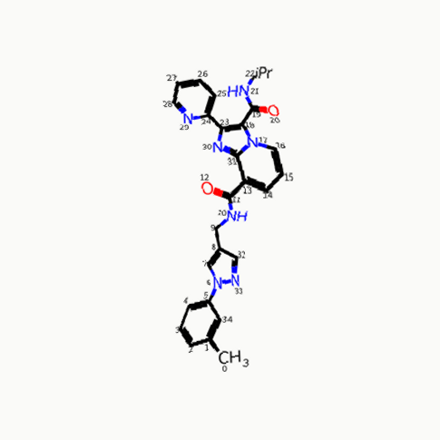 Cc1cccc(-n2cc(CNC(=O)c3cccn4c(C(=O)NC(C)C)c(-c5ccccn5)nc34)cn2)c1